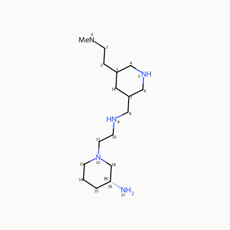 CNCCC1CNCC(CNCCN2CCC[C@@H](N)C2)C1